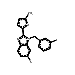 Cc1ccc(-c2nc3ccc(Cl)cc3n2Cc2cccc(F)c2)o1